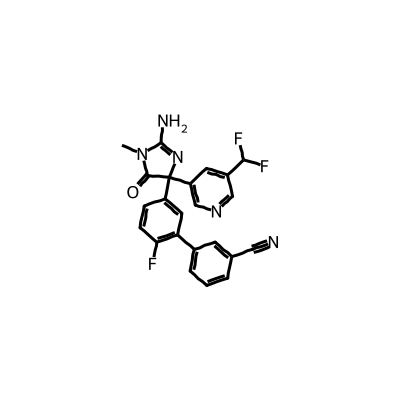 CN1C(=O)C(c2cncc(C(F)F)c2)(c2ccc(F)c(-c3cccc(C#N)c3)c2)N=C1N